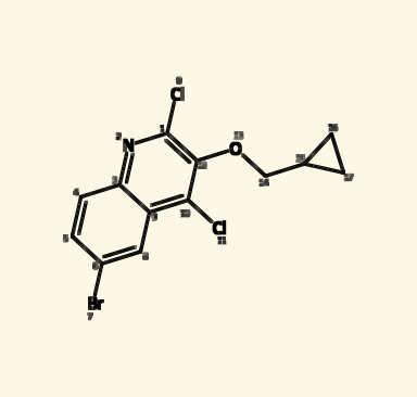 Clc1nc2ccc(Br)cc2c(Cl)c1OCC1CC1